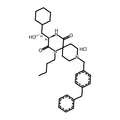 CCCCN1C(=O)[C@@H]([C@H](O)C2CCCCC2)NC(=O)C12CCN(Cc1ccc(Cc3ccccc3)cc1)CC2.Cl